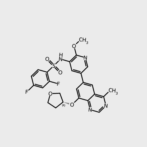 COc1ncc(-c2cc(O[C@@H]3CCOC3)c3ncnc(C)c3c2)cc1NS(=O)(=O)c1ccc(F)cc1F